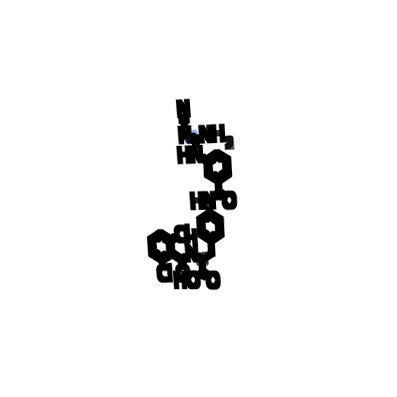 N#C/N=C(\N)Nc1cccc(C(=O)Nc2ccc(C[C@H](NC(=O)c3c(Cl)cccc3Cl)C(=O)O)cc2)c1